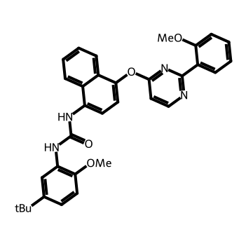 COc1ccc(C(C)(C)C)cc1NC(=O)Nc1ccc(Oc2ccnc(-c3ccccc3OC)n2)c2ccccc12